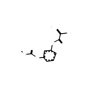 C=C(C)C(=O)Nc1cccc(OC(=O)NCl)c1